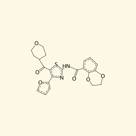 O=C(Nc1nc(-c2ccco2)c(C(=O)C2CCOCC2)s1)c1cccc2c1OCCO2